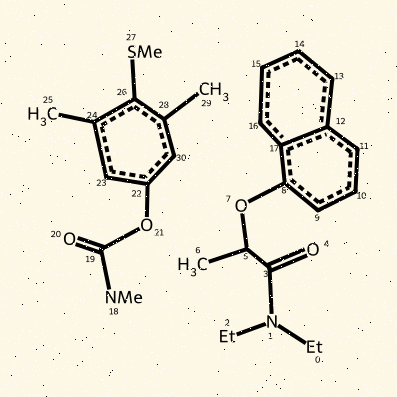 CCN(CC)C(=O)C(C)Oc1cccc2ccccc12.CNC(=O)Oc1cc(C)c(SC)c(C)c1